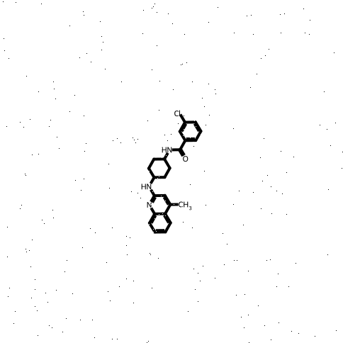 Cc1cc(NC2CCC(NC(=O)c3cccc(Cl)c3)CC2)nc2ccccc12